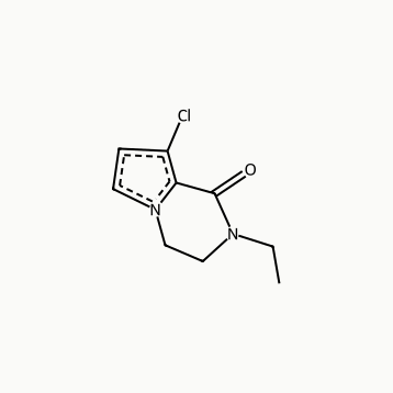 CCN1CCn2ccc(Cl)c2C1=O